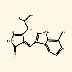 Cc1cccc2c(C=C3C(=O)NN=C3OC(C)C)c[nH]c12